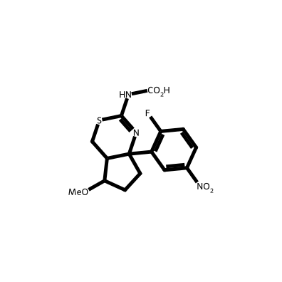 COC1CCC2(c3cc([N+](=O)[O-])ccc3F)N=C(NC(=O)O)SCC12